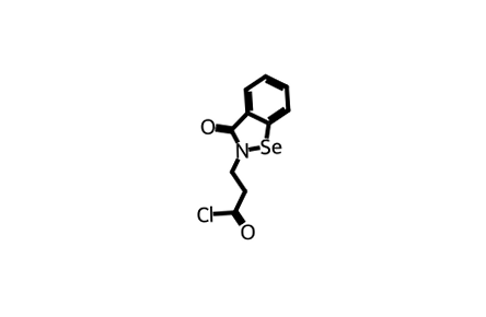 O=C(Cl)CCn1[se]c2ccccc2c1=O